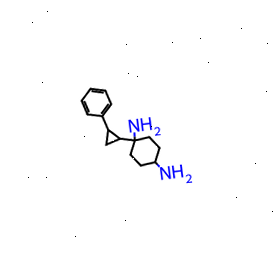 NC1CCC(N)(C2CC2c2ccccc2)CC1